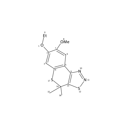 CCOc1cc2c(cc1OC)-c1nnsc1C(C)(C)S2